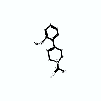 COc1ccccc1C1=CCN(C(=O)Cl)CC1